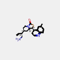 C=C[C@@H](CN)[C@H]1CCN2C(=O)S[C@@H](c3ccnc4ccc(C)cc34)[C@@H]2C1